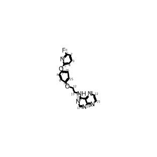 Fc1cccc(Oc2ccc(OCCNc3ncnc4nccnc34)cc2)n1